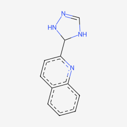 C1=NNC(c2ccc3ccccc3n2)N1